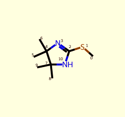 CSC1=NC(C)(C)C(C)(C)N1